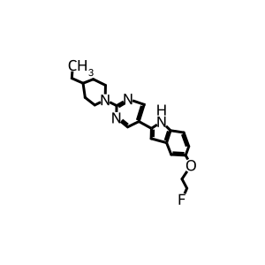 CCC1CCN(c2ncc(-c3cc4cc(OCCF)ccc4[nH]3)cn2)CC1